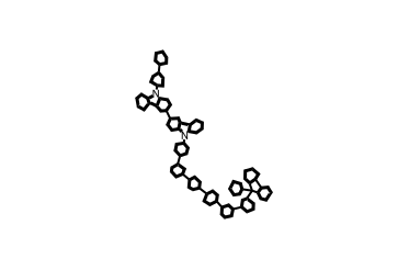 c1ccc(-c2ccc(-n3c4ccccc4c4cc(-c5ccc6c(c5)c5ccccc5n6-c5ccc(-c6cccc(-c7ccc(-c8ccc(-c9cccc(-c%10cccc(C%11(c%12ccccc%12)c%12ccccc%12-c%12ccccc%12%11)c%10)c9)cc8)cc7)c6)cc5)ccc43)cc2)cc1